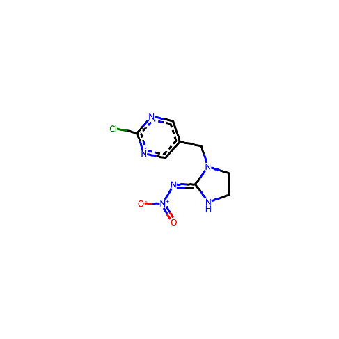 O=[N+]([O-])N=C1NCCN1Cc1cnc(Cl)nc1